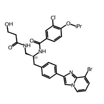 CC(C)Oc1ccc(C(=O)N[C@H](CNC(=O)CCO)Cc2ccc(-c3cn4cccc(Br)c4n3)cc2)cc1Cl